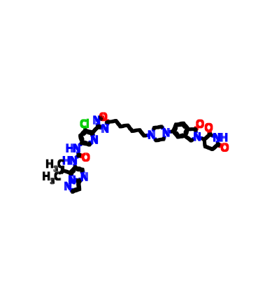 CC(C)c1c(NC(=O)Nc2cnc(-c3noc(CCCCCCN4CCN(c5ccc6c(c5)CN(C5CCC(=O)NC5=O)C6=O)CC4)n3)c(Cl)c2)cnc2ccnn12